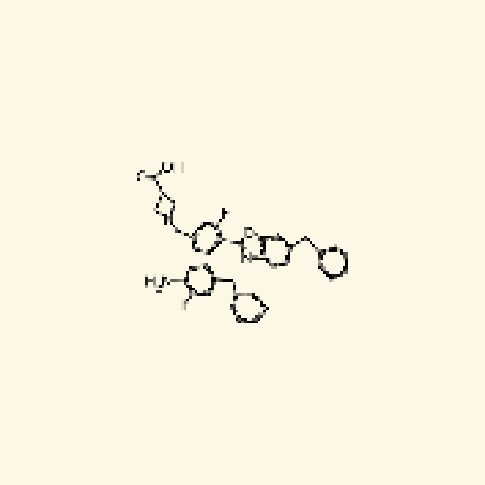 Nc1ccc(Cc2ccccc2)cc1I.O=C(O)C1CN(Cc2ccc(-c3nc4ccc(Cc5ccccc5)cc4o3)c(F)c2)C1